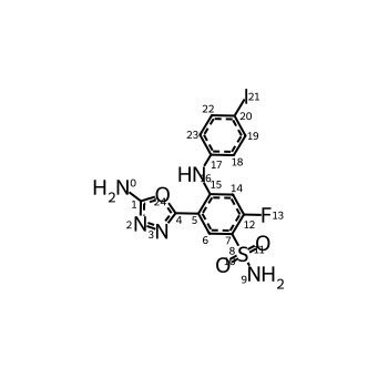 Nc1nnc(-c2cc(S(N)(=O)=O)c(F)cc2Nc2ccc(I)cc2)o1